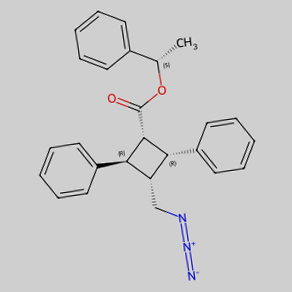 C[C@H](OC(=O)[C@H]1[C@H](c2ccccc2)[C@@H](CN=[N+]=[N-])[C@H]1c1ccccc1)c1ccccc1